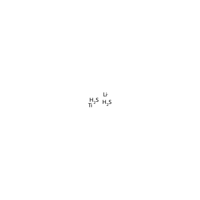 S.S.[Li].[Ti]